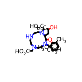 Cc1cccc(C)c1OC1C(CC(C)O)N(CC(=O)O)CCNCCN(CC(=O)O)CCN1CC(=O)O